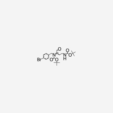 CC(C)(C)OC(=O)NCC[C@H](C=O)N(Cc1ccc(Br)cc1)C(=O)OC(C)(C)C